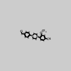 N#Cc1ccc(N2CCN(c3ccc(CCl)cc3)CC2)c(OC(F)(F)F)c1